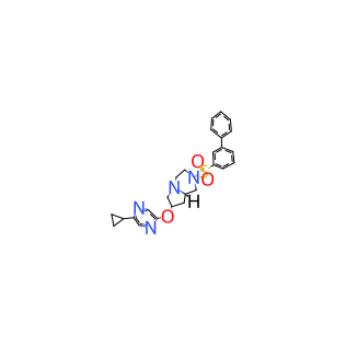 O=S(=O)(c1cccc(-c2ccccc2)c1)N1CCN2C[C@@H](Oc3cnc(C4CC4)cn3)C[C@H]2C1